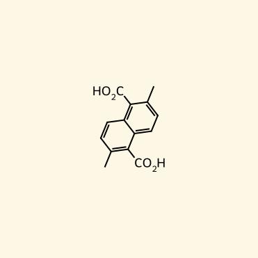 Cc1ccc2c(C(=O)O)c(C)ccc2c1C(=O)O